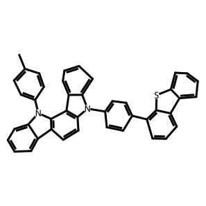 Cc1ccc(-n2c3ccccc3c3ccc4c(c5ccccc5n4-c4ccc(-c5cccc6c5sc5ccccc56)cc4)c32)cc1